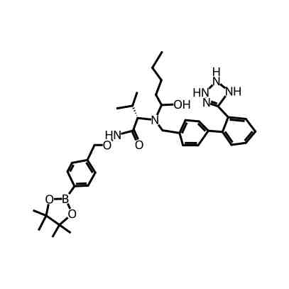 CCCCC(O)N(Cc1ccc(-c2ccccc2C2=NNNN2)cc1)[C@H](C(=O)NOCc1ccc(B2OC(C)(C)C(C)(C)O2)cc1)C(C)C